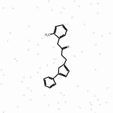 Cc1ccccc1CC(=O)CCC1=CC=C(c2ccccc2)C1